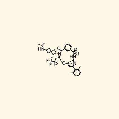 Cc1cccc(C)c1-c1cc2nc(n1)NS(=O)(=O)c1cccc(c1)C(=O)N([C@H]1CC3(C[C@H](NC(C)C)C3)C1)[C@H](CC1(C(F)(F)F)CC1)CO2